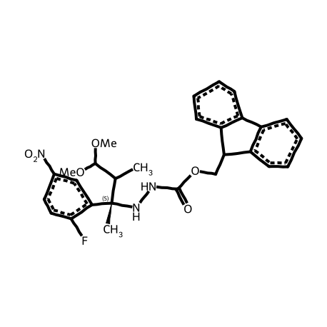 COC(OC)C(C)[C@](C)(NNC(=O)OCC1c2ccccc2-c2ccccc21)c1cc([N+](=O)[O-])ccc1F